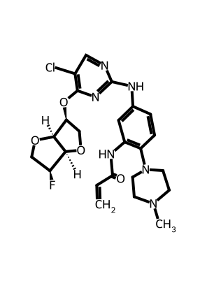 C=CC(=O)Nc1cc(Nc2ncc(Cl)c(O[C@H]3CO[C@@H]4[C@H]3OC[C@@H]4F)n2)ccc1N1CCN(C)CC1